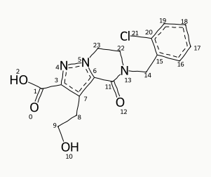 O=C(O)c1nn2c(c1CCO)C(=O)N(Cc1ccccc1Cl)CC2